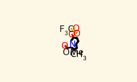 COC(=O)c1c(C)cc2ccc(OS(=O)(=O)C(F)(F)F)cn12